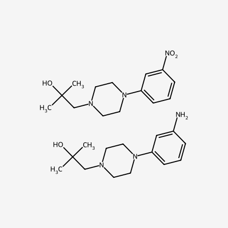 CC(C)(O)CN1CCN(c2cccc(N)c2)CC1.CC(C)(O)CN1CCN(c2cccc([N+](=O)[O-])c2)CC1